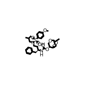 COc1ccc(S(=O)(=O)N(CC(C)C)C[C@@H](O)[C@H](Cc2ccccc2)NC(=O)OC2COC3OCC2CCC3C)cc1